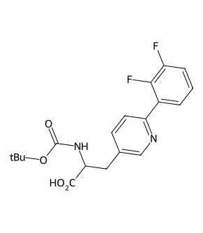 CC(C)(C)OC(=O)NC(Cc1ccc(-c2cccc(F)c2F)nc1)C(=O)O